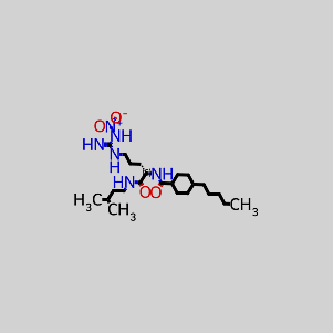 CCCCCC1CCC(C(=O)N[C@@H](CCCNC(=N)N[N+](=O)[O-])C(=O)NCCC(C)C)CC1